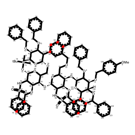 COc1ccc(CO[C@@H]2C(OCc3ccccc3)[C@H](O[C@@H]3C(COCc4ccccc4)O[C@@H](O[C@@H]4C(CO[C@@H]5O[C@@H](C)[C@@H](OCc6ccccc6)C(OCc6ccccc6)C5OCc5ccccc5)O[C@@H](O[Si](C)(C)C(C)(C)C)C(NS(=O)(=O)c5ccccc5)[C@@H]4OCc4ccccc4)C(NS(=O)(=O)c4ccccc4)[C@@H]3OCc3ccccc3)OC3COC(c4ccccc4)O[C@H]32)cc1